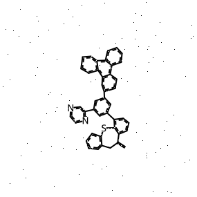 C=C1Cc2ccccc2Sc2c1cccc2-c1cc(-c2ccc3c4ccccc4c4ccccc4c3c2)cc(-c2cnccn2)c1